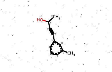 Cc1cccc(C#CC(C)O)c1